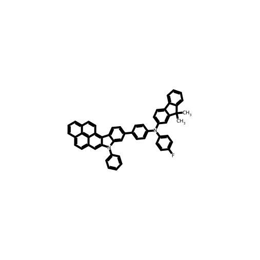 CC1(C)c2ccccc2-c2ccc(N(c3ccc(F)cc3)c3ccc(-c4ccc5c6c7ccc8cccc9ccc(cc6n(-c6ccccc6)c5c4)c7c98)cc3)cc21